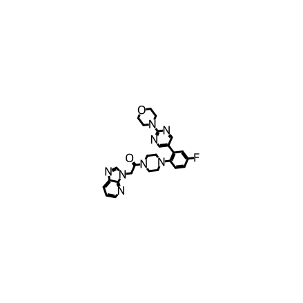 O=C(Cn1cnc2cccnc21)N1CCN(c2ccc(F)cc2-c2cnc(N3CCOCC3)nc2)CC1